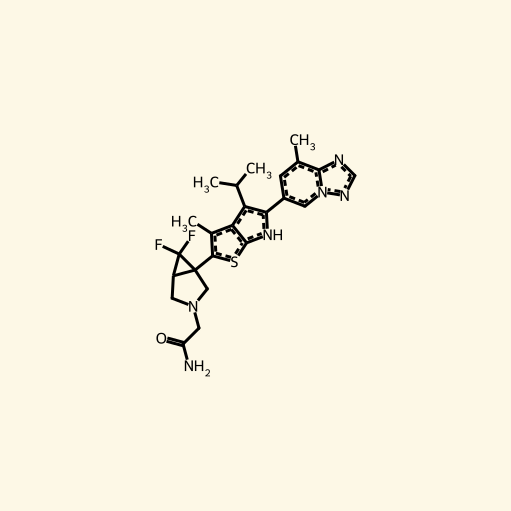 Cc1c(C23CN(CC(N)=O)CC2C3(F)F)sc2[nH]c(-c3cc(C)c4ncnn4c3)c(C(C)C)c12